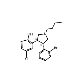 CCCCN1C[C@H](c2cc(Cl)ccc2O)[C@@H](c2ccccc2Br)C1